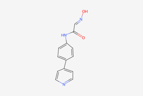 O=C(C=NO)Nc1ccc(-c2ccncc2)cc1